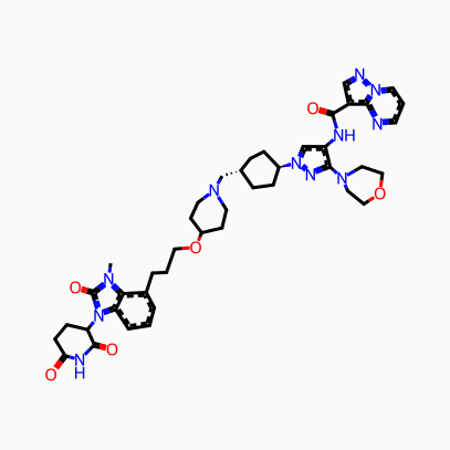 Cn1c(=O)n(C2CCC(=O)NC2=O)c2cccc(CCCOC3CCN(C[C@H]4CC[C@H](n5cc(NC(=O)c6cnn7cccnc67)c(N6CCOCC6)n5)CC4)CC3)c21